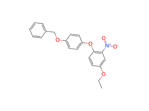 CCOc1ccc(Oc2ccc(OCc3ccccc3)cc2)c([N+](=O)[O-])c1